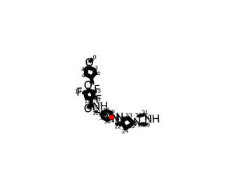 COc1ccc(COc2c(F)cc(C(=O)NC[C@]34CC[C@](n5cc6ccc(N7CCNCC7)cc6n5)(CC3)CC4)c(F)c2F)cc1